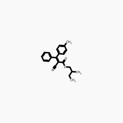 CCC(C)COC(=O)/C(C#N)=C(/c1ccccc1)c1ccc(C)cc1